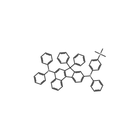 C[Si](C)(C)c1ccc(N(c2ccccc2)c2ccc3c(c2)C(c2ccccc2)(c2ccccc2)c2cc(N(c4ccccc4)c4ccccc4)c4ccccc4c2-3)cc1